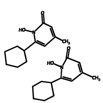 Cc1cc(C2CCCCC2)n(O)c(=O)c1.Cc1cc(C2CCCCC2)n(O)c(=O)c1